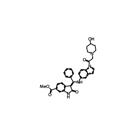 COC(=O)c1ccc2c(c1)NC(=O)/C2=C(\Nc1ccc2c(ccn2C(=O)CN2CCC(O)CC2)c1)c1ccccc1